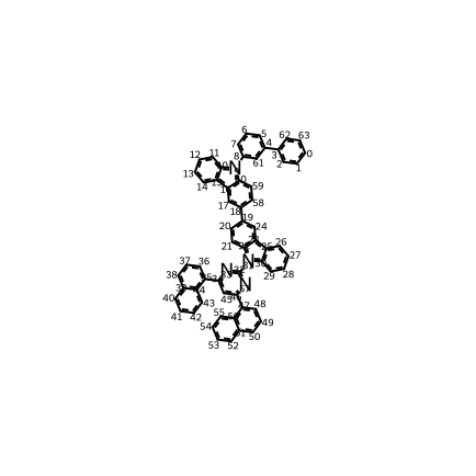 c1ccc(-c2cccc(-n3c4ccccc4c4cc(-c5ccc6c(c5)c5ccccc5n6-c5nc(-c6cccc7ccccc67)cc(-c6cccc7ccccc67)n5)ccc43)c2)cc1